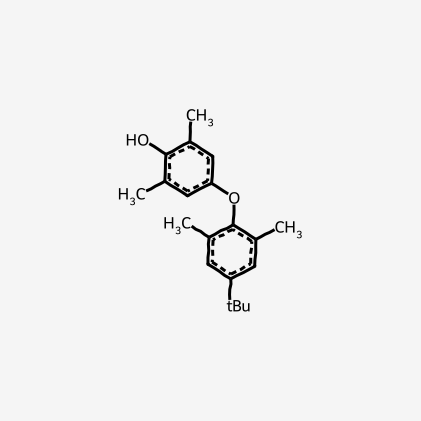 Cc1cc(Oc2c(C)cc(C(C)(C)C)cc2C)cc(C)c1O